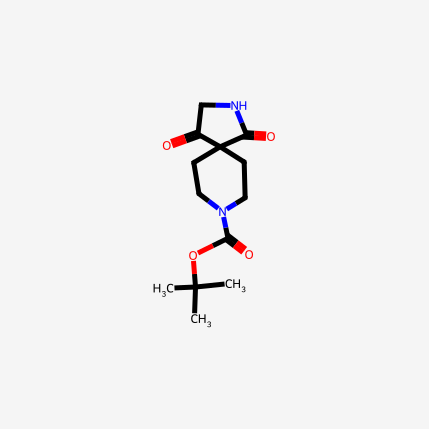 CC(C)(C)OC(=O)N1CCC2(CC1)C(=O)CNC2=O